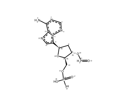 Nc1ncnn2c([C@H]3C[C@H](O[PH2]=O)[C@@H](COP(=O)(O)S)O3)cnc12